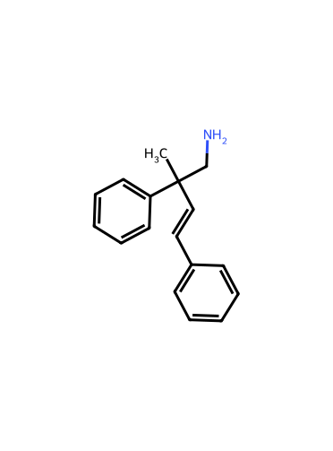 CC(C=Cc1ccccc1)(CN)c1ccccc1